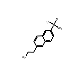 C[Si](C)(O)c1ccc2cc(CCN)ccc2c1